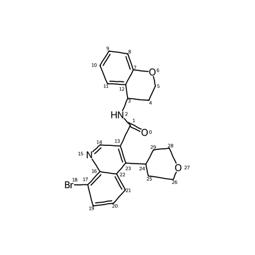 O=C(NC1CCOc2ccccc21)c1cnc2c(Br)cccc2c1C1CCOCC1